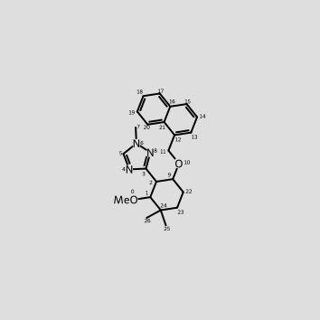 COC1C(c2ncn(C)n2)C(OCc2cccc3ccccc23)CCC1(C)C